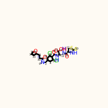 CN(Cc1cc(Cl)c(C(=O)N[C@@H](CNC(=O)[C@@H]2CSC(=S)N2)C(=O)O)c(Cl)c1)C(=O)/C=C/c1ccco1